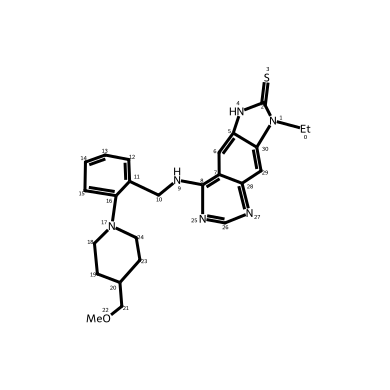 CCn1c(=S)[nH]c2cc3c(NCc4ccccc4N4CCC(COC)CC4)ncnc3cc21